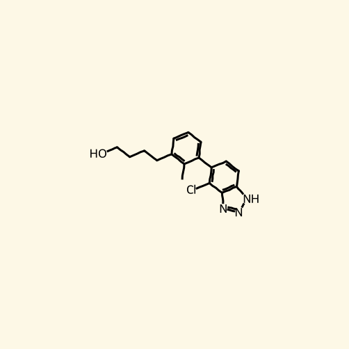 Cc1c(CCCCO)cccc1-c1ccc2[nH]nnc2c1Cl